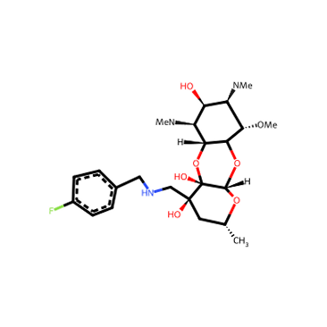 CN[C@@H]1[C@H](O)[C@H](NC)[C@H]2O[C@]3(O)[C@H](OC2[C@H]1OC)O[C@H](C)C[C@]3(O)CNCc1ccc(F)cc1